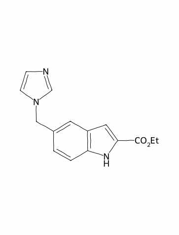 CCOC(=O)c1cc2cc(Cn3ccnc3)ccc2[nH]1